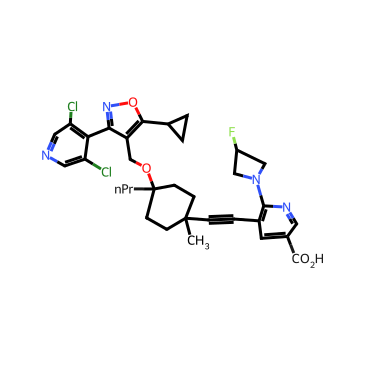 CCCC1(OCc2c(-c3c(Cl)cncc3Cl)noc2C2CC2)CCC(C)(C#Cc2cc(C(=O)O)cnc2N2CC(F)C2)CC1